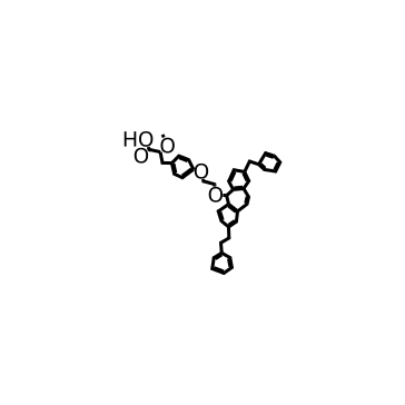 COC(Cc1ccc(OCCOC2c3ccc(CCc4ccccc4)cc3C=Cc3cc(Cc4ccccc4)ccc32)cc1)C(=O)O